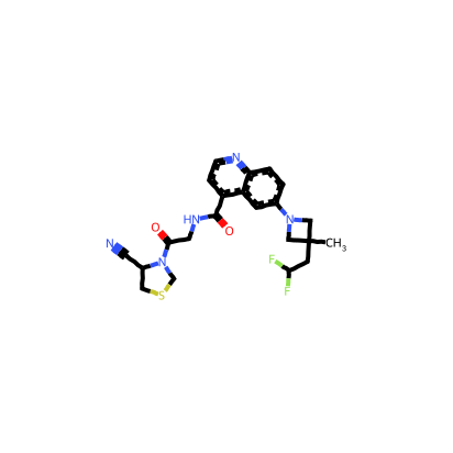 CC1(CC(F)F)CN(c2ccc3nccc(C(=O)NCC(=O)N4CSCC4C#N)c3c2)C1